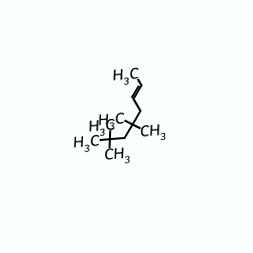 CC=CCC(C)(C)CC(C)(C)C